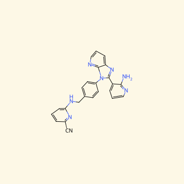 N#Cc1cccc(NCc2ccc(-n3c(-c4cccnc4N)nc4cccnc43)cc2)n1